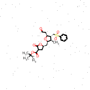 C[C@@H]1[C@@H](CS(=O)(=O)c2ccccc2)[C@H](CC=O)O[C@@H]1C[C@H]1CC(C(=O)OC(C)(C)C)C(=O)O1